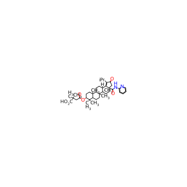 CC(C)C1=C2[C@H]3CCC4[C@@]5(C)CC[C@H](OC(=O)CC(C)(C)C(=O)O)C(C)(C)C5CC[C@@]4(C)[C@]3(C)CC[C@@]2(C(=O)Nc2ccccn2)CC1=O